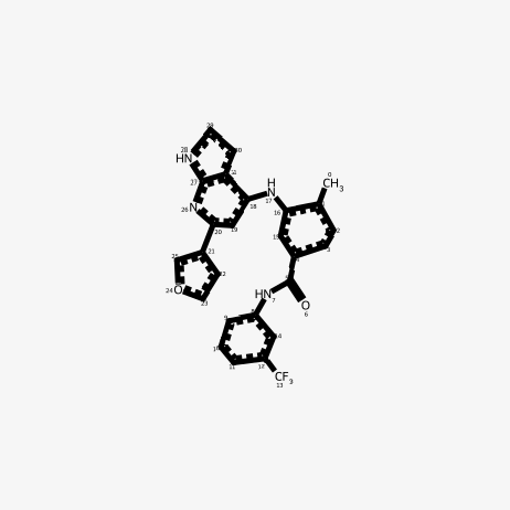 Cc1ccc(C(=O)Nc2cccc(C(F)(F)F)c2)cc1Nc1cc(-c2ccoc2)nc2[nH]ccc12